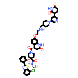 CNC(=O)C1(Oc2ccccc2-c2nc3cccc(Cl)c3s2)CCN(C(=O)[C@H]2CC(=O)Nc3cc(OCCNCC4CCN(c5cncc(C6CCC(=O)NC6=O)c5)CC4)ccc32)CC1